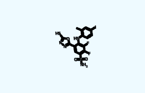 Cc1cc(I)ccc1Nc1c(-c2nnc(S)o2)cc(S(N)(=O)=O)c(F)c1F